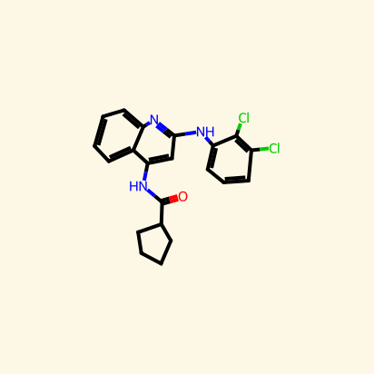 O=C(Nc1cc(Nc2cccc(Cl)c2Cl)nc2ccccc12)C1CCCC1